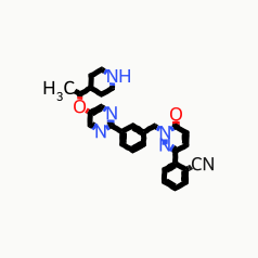 CC(Oc1cnc(-c2cccc(Cn3nc(-c4ccccc4C#N)ccc3=O)c2)nc1)C1CCNCC1